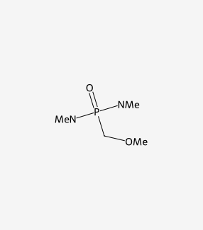 CNP(=O)(COC)NC